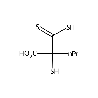 CCCC(S)(C(=O)O)C(=S)S